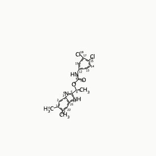 Cc1cc2nc([C@H](C)OC(=O)Nc3ccc(Cl)c(Cl)c3)[nH]c2cc1C